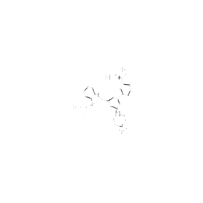 NC(CF)c1cccc(-c2cc(COc3ccccc3CC(=O)O)cc(N3CCC4(CC3)COC4)c2)c1